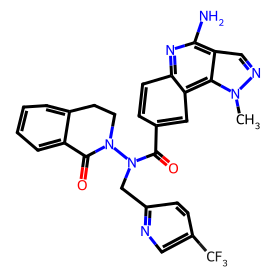 Cn1ncc2c(N)nc3ccc(C(=O)N(Cc4ccc(C(F)(F)F)cn4)N4CCc5ccccc5C4=O)cc3c21